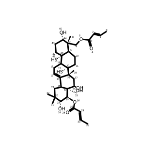 C/C=C/C(=O)OC[C@]1(C)C2CC[C@]3(S)C(CC=C4C5CC(C)(C)[C@@H](O)[C@H](OC(=O)/C=C/C)[C@]5(CO)[C@H](O)C[C@]43C)[C@@]2(S)CC[C@@H]1O